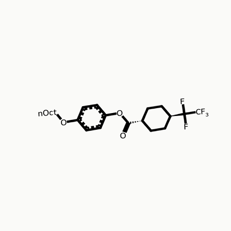 CCCCCCCCOc1ccc(OC(=O)[C@H]2CC[C@H](C(F)(F)C(F)(F)F)CC2)cc1